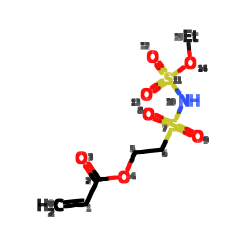 C=CC(=O)OCCS(=O)(=O)NS(=O)(=O)OCC